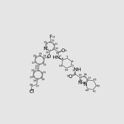 O=C(N[C@H]1CC[C@H](NC(=O)c2cc(F)cnc2Oc2cccc(-c3ccc(CCCl)cc3)c2)CC1)c1cc2n(n1)CCCC2